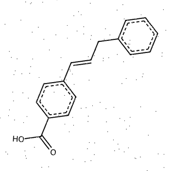 O=C(O)c1ccc(C=CCc2ccccc2)cc1